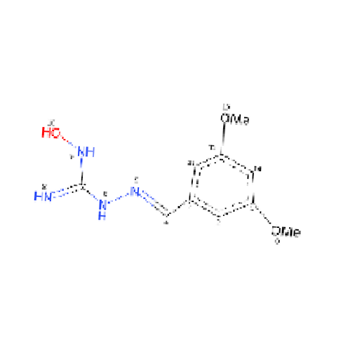 COc1cc(C=NNC(=N)NO)cc(OC)c1